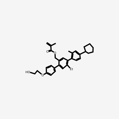 C=C(C)C(=O)OCc1cc(-c2ccc(C3CCCCC3)cc2C)c(CC)cc1-c1ccc(OCCO)cc1